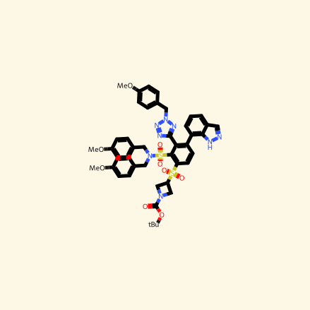 COc1ccc(CN(Cc2ccc(OC)cc2)S(=O)(=O)c2c(S(=O)(=O)C3CN(C(=O)OC(C)(C)C)C3)ccc(-c3cccc4cn[nH]c34)c2-c2nnn(Cc3ccc(OC)cc3)n2)cc1